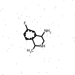 CC1NCC(N)c2cc(F)ccc21